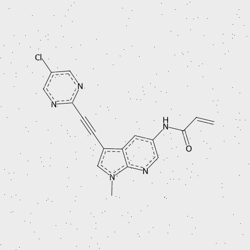 C=CC(=O)Nc1cnc2c(c1)c(C#Cc1ncc(Cl)cn1)cn2C